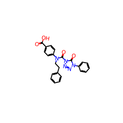 O=C(O)c1ccc(N(CCc2ccccc2)C(=O)n2nnn(-c3ccccc3)c2=O)cc1